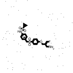 NCC(=CF)COc1ccc(S(=O)(=O)CC23CCC(NS(=O)(=O)C4CC4)(CC2)CC3)cc1